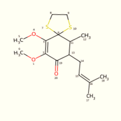 COC1=C(OC)C2(SCCS2)C(C)C(CC=C(C)C)C1=O